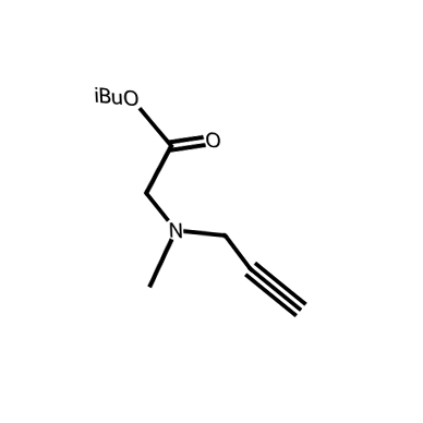 C#CCN(C)CC(=O)OCC(C)C